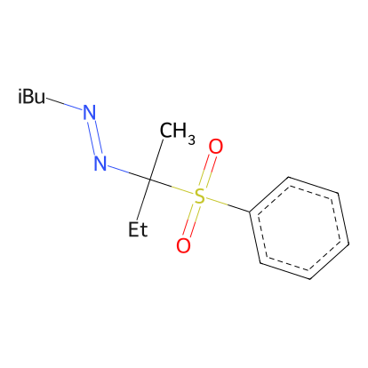 CCC(C)N=NC(C)(CC)S(=O)(=O)c1ccccc1